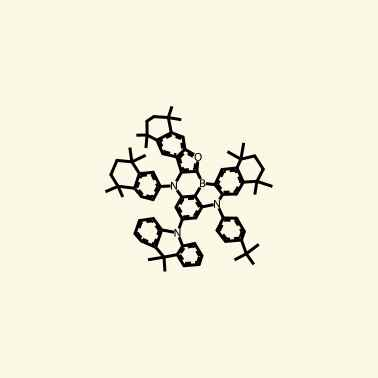 CC(C)(C)c1ccc(N2c3cc4c(cc3B3c5oc6cc7c(cc6c5N(c5ccc6c(c5)C(C)(C)CCC6(C)C)c5cc(N6c8ccccc8C(C)(C)c8ccccc86)cc2c53)C(C)(C)CCC7(C)C)C(C)(C)CCC4(C)C)cc1